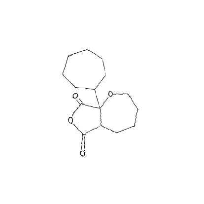 O=C1OC(=O)C2(C3CCCCCC3)OCCCCC12